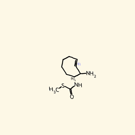 CSC(=O)N[C@@H]1CCCC/C=C/C1N